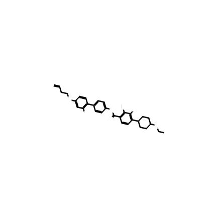 C=CCCOc1ccc(-c2ccc(OC(=O)c3ccc(C4CCC(OCC)CC4)c(F)c3F)cc2)c(F)c1